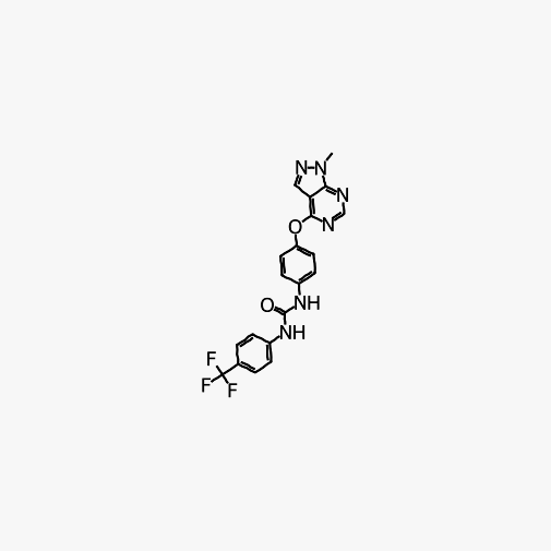 Cn1ncc2c(Oc3ccc(NC(=O)Nc4ccc(C(F)(F)F)cc4)cc3)ncnc21